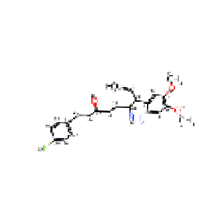 C=CC(c1ccc(OC)c(OC)c1)C(N)CCC(=O)CCc1ccc(F)cc1